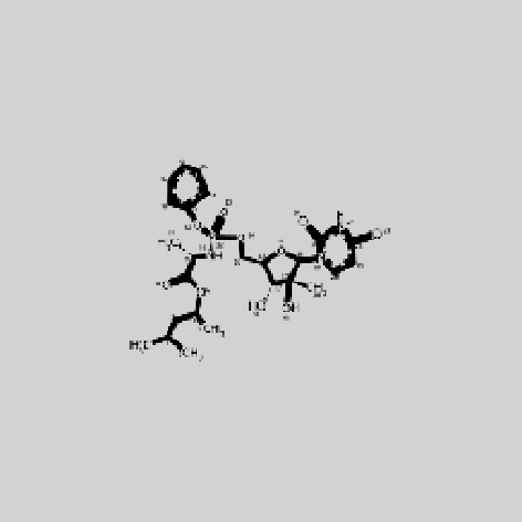 CC(C)CC(C)OC(=O)[C@H](C)N[P@@](=O)(OC[C@H]1OC(n2ccc(=O)[nH]c2=O)[C@](C)(O)[C@@H]1O)Oc1ccccc1